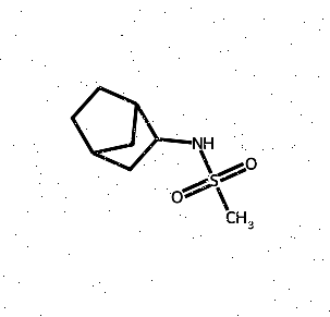 CS(=O)(=O)NC1CC2CCC1C2